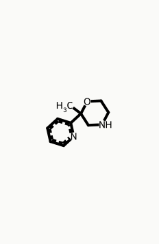 CC1(c2ccccn2)CNCCO1